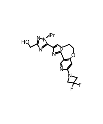 CC(C)n1nc(CO)nc1-c1cn2c(n1)-c1cnc(N3CC(F)(F)C3)cc1OCC2